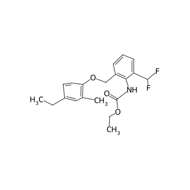 CCOC(=O)Nc1c(COc2ccc(CC)cc2C)cccc1C(F)F